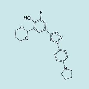 Oc1c(F)cc(-c2cnn(-c3ccc(N4CCCC4)cc3)c2)cc1C1OCCCO1